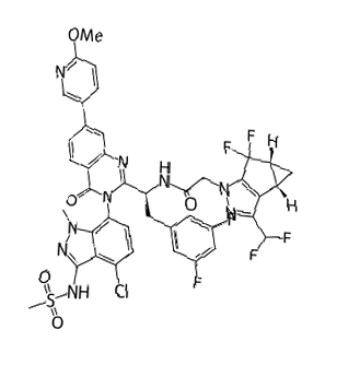 COc1ccc(-c2ccc3c(=O)n(-c4ccc(Cl)c5c(NS(C)(=O)=O)nn(C)c45)c([C@H](Cc4cc(F)cc(F)c4)NC(=O)Cn4nc(C(F)F)c5c4C(F)(F)[C@@H]4C[C@H]54)nc3c2)cn1